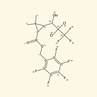 CC1(C)C(C(=O)OCc2c(F)c(F)c(F)c(F)c2F)C1C(O)C(Cl)(Cl)C(F)(F)F